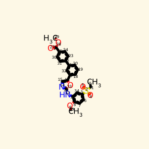 CCS(=O)(=O)c1ccc(OC)c(Nc2ncc(-c3cccc(-c4ccc(C(=O)OC)cc4)c3)o2)c1